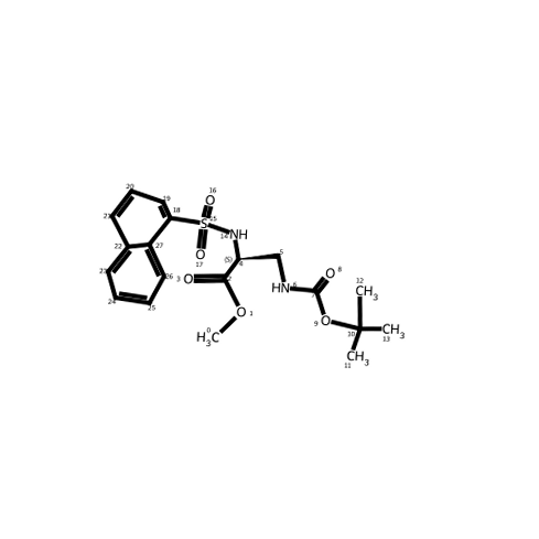 COC(=O)[C@H](CNC(=O)OC(C)(C)C)NS(=O)(=O)c1cccc2ccccc12